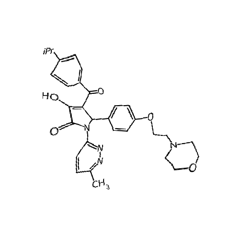 Cc1ccc(N2C(=O)C(O)=C(C(=O)c3ccc(C(C)C)cc3)C2c2ccc(OCCN3CCOCC3)cc2)nn1